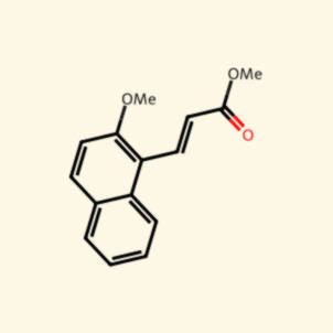 COC(=O)/C=C/c1c(OC)ccc2ccccc12